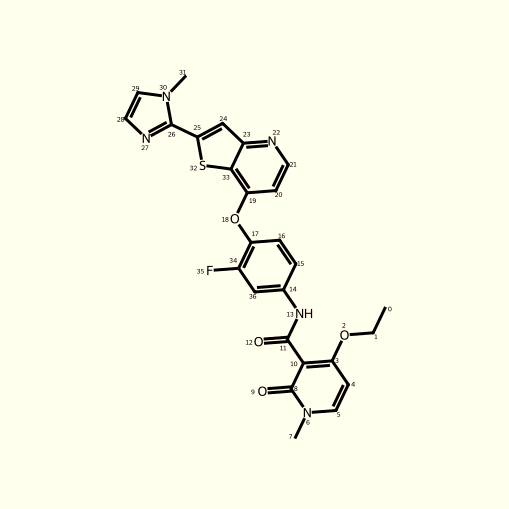 CCOc1ccn(C)c(=O)c1C(=O)Nc1ccc(Oc2ccnc3cc(-c4nccn4C)sc23)c(F)c1